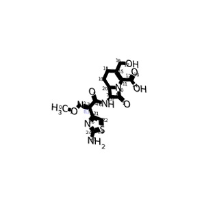 CO/N=C(/C(=O)N[C@@H]1C(=O)N2C(C(=O)O)=C(CO)CCC12)c1csc(N)n1